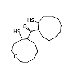 O=C(C1CCCCCCCCC1S)C1CCCCCCCCC1S